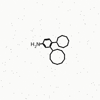 Nc1ccc(C2CCCCCCC2)c(C2CCCCCCCCC2)c1